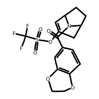 O=C(c1ccc2c(c1)OCCO2)N1C2C=C(OS(=O)(=O)C(F)(F)F)CC1CC2